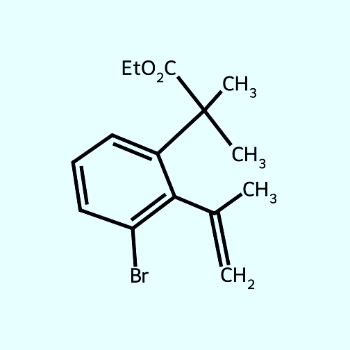 C=C(C)c1c(Br)cccc1C(C)(C)C(=O)OCC